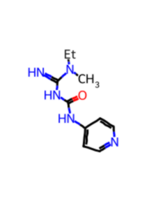 CCN(C)C(=N)NC(=O)Nc1ccncc1